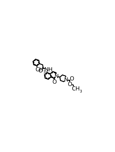 CCOC(=O)N1CCC(n2ccc3c(NC(=O)Cc4ccccc4C)cccc3c2=O)CC1